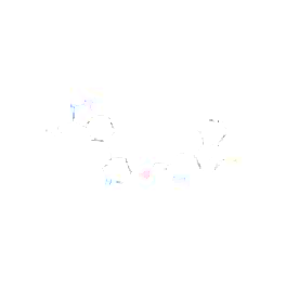 Cc1n[nH]c2ccc(-c3cncc(OC[C@@H](N)Cc4ccc(F)c5ccccc45)c3)cc12